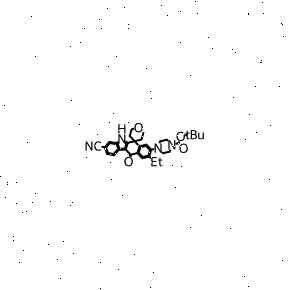 CCc1cc2c(cc1N1CCN(C(=O)OC(C)(C)C)CC1)C1(CCOCC1)c1[nH]c3cc(C#N)ccc3c1C2=O